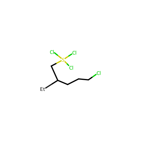 CCC(CCCCl)CS(Cl)(Cl)Cl